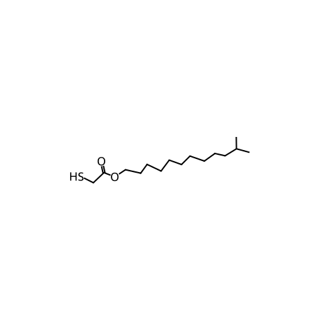 CC(C)CCCCCCCCCCOC(=O)CS